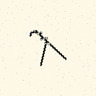 CC/C=C\COC(C)(C)COC(=O)CCC(=O)NCCC(COCCCCCCCCCCCCCCCC)OCCCCCCCCCCCCCCCC